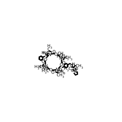 Cc1nn(Cc2ccc(C[C@H]3OC(=O)[C@H](CC(C)C)N(C)C(=O)[C@@H](C)OC(=O)[C@H](CC(C)C)N(C)C(=O)[C@@H](Cc4ccccc4)OC(=O)[C@H](CC(C)C)N(C)C(=O)[C@@H](C)OC(=O)[C@H](CC(C)C)N(C)C3=O)cc2)c(C)c1S(=O)(=O)N1CCCC1